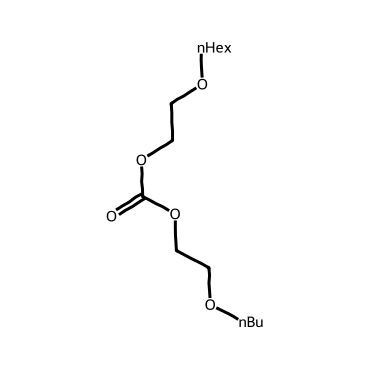 CCCCCCOCCOC(=O)OCCOCCCC